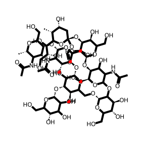 CC(=O)NC1C(OC2[C@@H](OCC3O[C@@H](O[C@@H]4C(CO)O[C@@H](O[C@@H]5C(CO)O[C@@H](C)C(NC(C)=O)[C@H]5O)C(NC(C)=O)[C@H]4O)C(O)[C@@H](O[C@H]4OC(CO)[C@@H](O)C(O)C4O)[C@@H]3O)OC(CO)[C@@H](O)[C@@H]2O)O[C@@H](CO)[C@@H](O[C@@H]2OC(CO)[C@H](O)[C@H](O[C@]3(OC=O)C[C@@H](O)[C@@H](C)C(C(O)[C@H](O)CO)O3)C2O)C1O